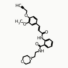 C#CCOc1ccc(C=CC(=O)Nc2ccccc2C(=O)NCCN2CCOCC2)cc1OC